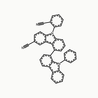 N#Cc1ccc2c(c1)c1c(-c3cccc4c5ccccc5n(-c5ccccc5)c34)cccc1n2-c1ccccc1C#N